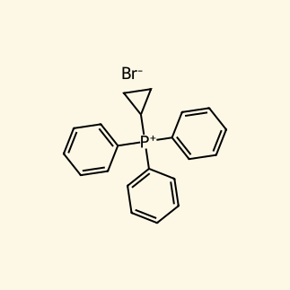 [Br-].c1ccc([P+](c2ccccc2)(c2ccccc2)C2CC2)cc1